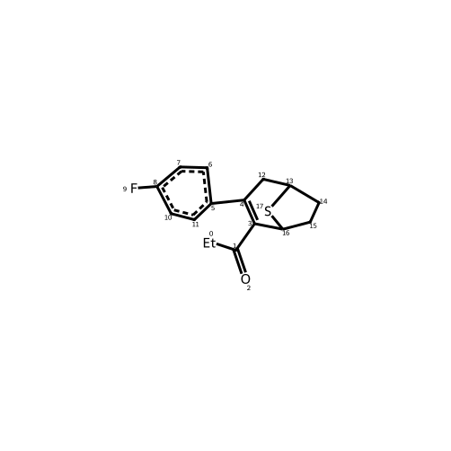 CCC(=O)C1=C(c2ccc(F)cc2)CC2CCC1S2